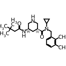 Cc1cccc(CN(C(=O)[C@@H]2CNC[C@H](NC(=O)CC(C)(C)C)C2)C2CC2)c1C